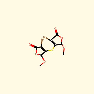 COC1OC(=O)C(Br)=C1SC1=C(Br)C(=O)OC1OC